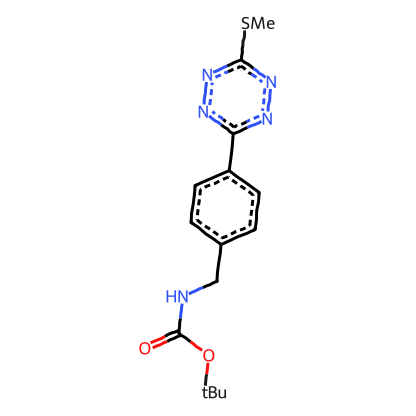 CSc1nnc(-c2ccc(CNC(=O)OC(C)(C)C)cc2)nn1